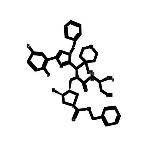 C[C@@H](CO)NC(=O)N(C[C@@H]1CN(C(=O)OCc2ccccc2)C[C@@H]1F)[C@@H](c1nc(-c2cc(F)ccc2F)cn1Cc1ccccc1)C1(C)CCOCC1